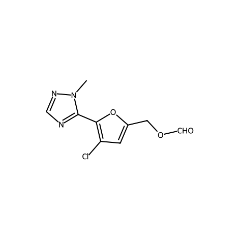 Cn1ncnc1-c1oc(COC=O)cc1Cl